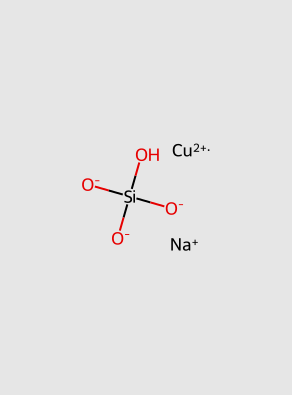 [Cu+2].[Na+].[O-][Si]([O-])([O-])O